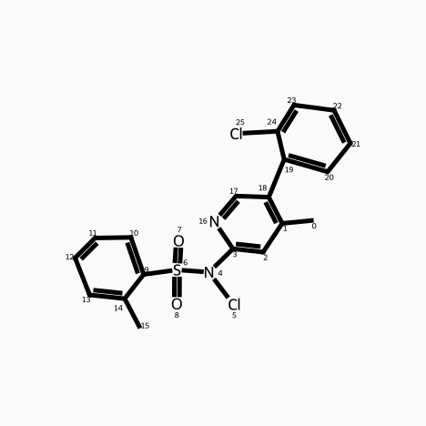 Cc1cc(N(Cl)S(=O)(=O)c2ccccc2C)ncc1-c1ccccc1Cl